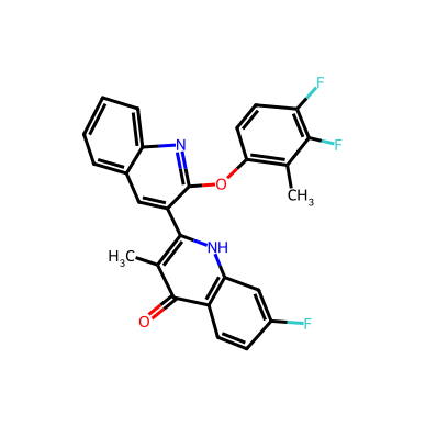 Cc1c(Oc2nc3ccccc3cc2-c2[nH]c3cc(F)ccc3c(=O)c2C)ccc(F)c1F